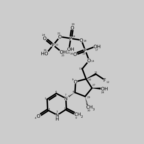 C=C1NC(=O)C=CN1[C@@H]1O[C@](CF)(COP(=O)(O)OP(=O)(O)OP(=O)(O)O)[C@@H](O)[C@@H]1C